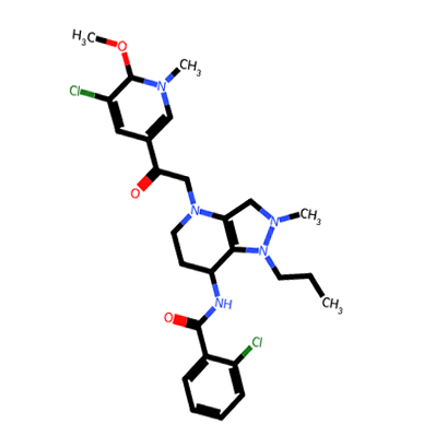 CCCN1C2=C(CN1C)N(CC(=O)C1=CN(C)C(OC)C(Cl)=C1)CCC2NC(=O)c1ccccc1Cl